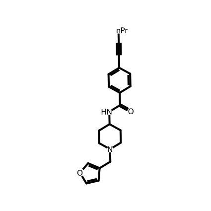 CCCC#Cc1ccc(C(=O)NC2CCN(Cc3ccoc3)CC2)cc1